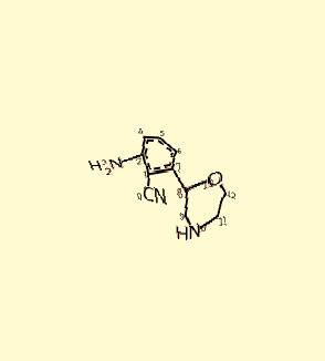 N#Cc1c(N)cccc1C1CNCCO1